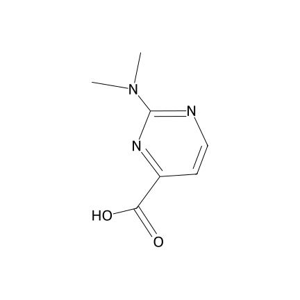 CN(C)c1nccc(C(=O)O)n1